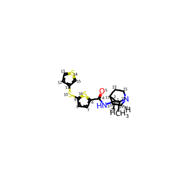 C[C@H]1[C@H](NC(=O)c2ccc(Sc3ccsc3)s2)C2CCN1CC2